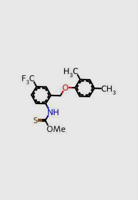 COC(=S)Nc1ccc(C(F)(F)F)cc1COc1ccc(C)cc1C